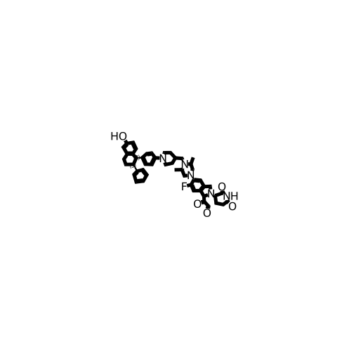 CC1CN(c2cc3c(cc2F)C(C(=O)C=O)N(C2CCC(=O)NC2=O)C3)CC(C)N1CC1CCN(c2ccc([C@@H]3c4ccc(O)cc4CC[C@@H]3c3ccccc3)cc2)CC1